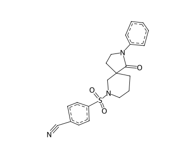 N#Cc1ccc(S(=O)(=O)N2CCCC3(CCN(c4ccccc4)C3=O)C2)cc1